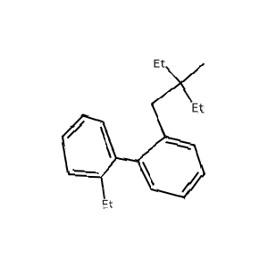 CCc1ccccc1-c1ccccc1CC(C)(CC)CC